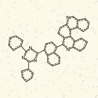 c1ccc(-c2nc(-c3ccccc3)nc(-c3ccc(-c4nc5ccccc5c5c4ccc4ncc6ccccc6c45)c4ccccc34)n2)cc1